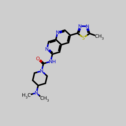 Cc1nnc(-c2cnc3cnc(NC(=O)N4CCC(N(C)C)CC4)cc3c2)s1